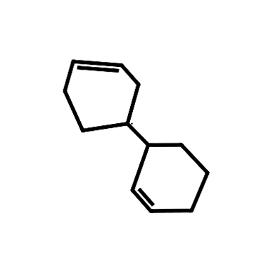 C1=CC([C]2CC=CCC2)CCC1